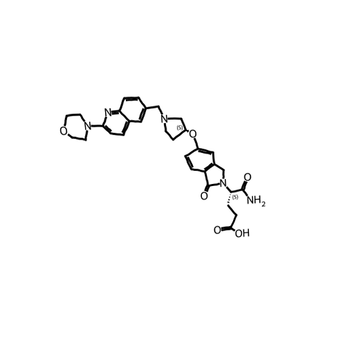 NC(=O)[C@H](CCC(=O)O)N1Cc2cc(O[C@H]3CCN(Cc4ccc5nc(N6CCOCC6)ccc5c4)C3)ccc2C1=O